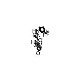 COC1CCN(S(=O)(=O)NC(=O)c2coc(Nc3cc(C(F)(F)F)ccc3C)n2)C1